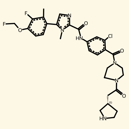 Cc1c(-c2cnc(C(=O)Nc3ccc(C(=O)N4CCN(C(=O)C[C@@H]5CCNC5)CC4)c(Cl)c3)n2C)ccc(OCF)c1F